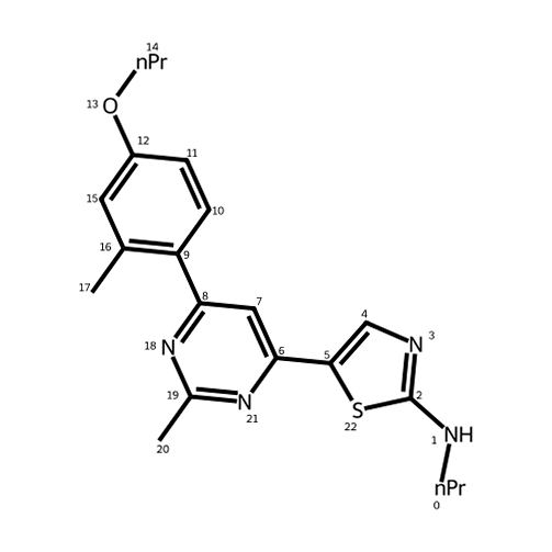 CCCNc1ncc(-c2cc(-c3ccc(OCCC)cc3C)nc(C)n2)s1